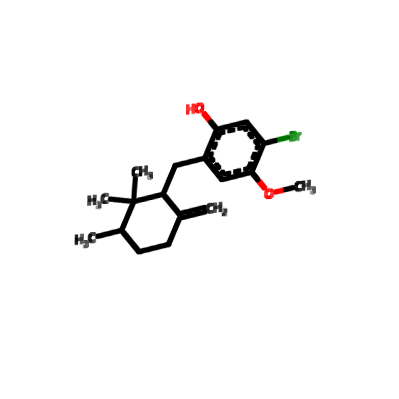 C=C1CCC(C)C(C)(C)C1Cc1cc(OC)c(Br)cc1O